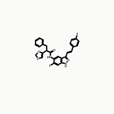 O=C(Nc1cc2c(C=Cc3ccc(F)cc3)n[nH]c2cc1F)C(Cc1ccccc1)C1=COCO1